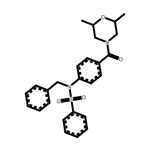 CC1CN(C(=O)c2ccc(N(Cc3ccccc3)S(=O)(=O)c3ccccc3)cc2)CC(C)O1